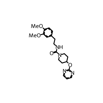 COc1ccc(CCNC(=O)N2CCC(Oc3ncccn3)CC2)cc1OC